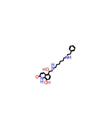 O=c1ccc2c(C(O)CNCCCCCCNCCc3ccccc3)ccc(O)c2[nH]1